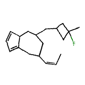 C/C=C\C1CC2=CC=CC2CC(CC2CC(C)(F)C2)C1